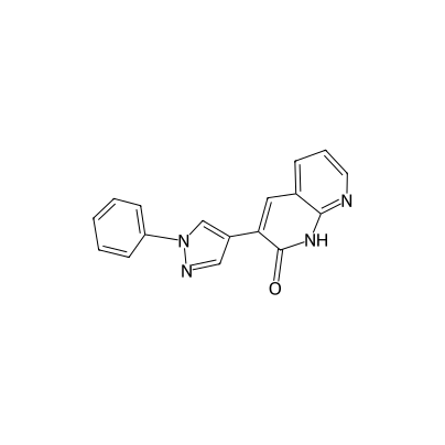 O=c1[nH]c2ncccc2cc1-c1cnn(-c2ccccc2)c1